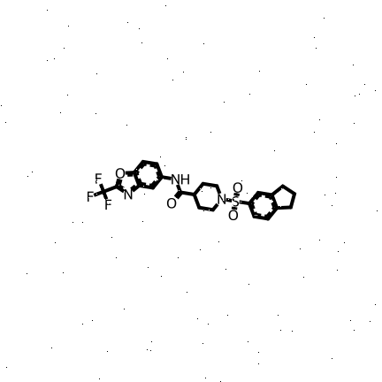 O=C(Nc1ccc2oc(C(F)(F)F)nc2c1)C1CCN(S(=O)(=O)c2ccc3c(c2)CCC3)CC1